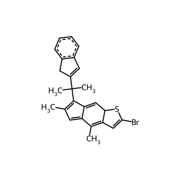 CC1=C(C(C)(C)C2=Cc3ccccc3C2)C2=CC3SC(Br)=CC3=C(C)C2=C1